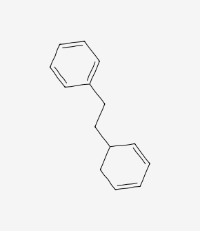 C1=CCC(CCc2ccccc2)C=C1